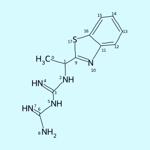 CC(NC(=N)NC(=N)N)c1nc2ccccc2s1